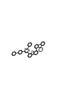 c1ccc(-c2ccc(-c3cc(-c4cccc5c4oc4c(-c6cccc7c6C6(CCCCC6)c6ccccc6-7)cccc45)nc(-c4ccccc4)n3)cc2)cc1